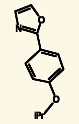 CC(C)Oc1ccc(-c2ncco2)cc1